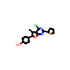 Cc1c(-c2ccc(O)cc2)oc2nc(-c3cccs3)nc(Cl)c12